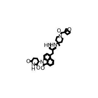 CC1(N/C=C(\C=N)Cc2ccc3c4c(cccc24)C(=O)N3[C@H]2CCC(=O)NC2=O)CCN(C(=O)C23COC(C2)C3)CC1